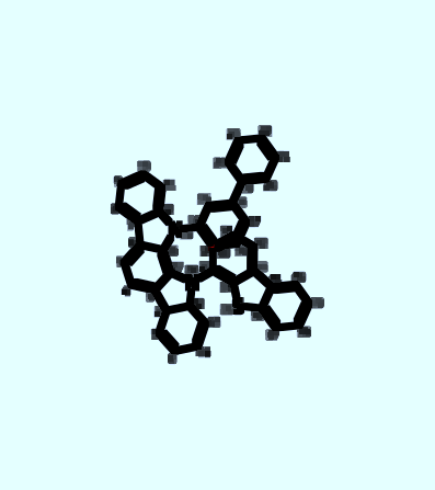 C1=CC2c3ccc4c5ccccc5n(-c5cccc(-c6ccccc6)c5)c4c3N(c3cccc4c3sc3ccccc34)C2C=C1